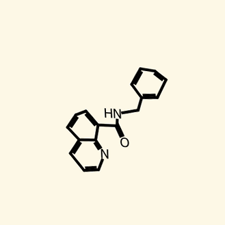 O=C(NCc1ccccc1)c1cccc2cccnc12